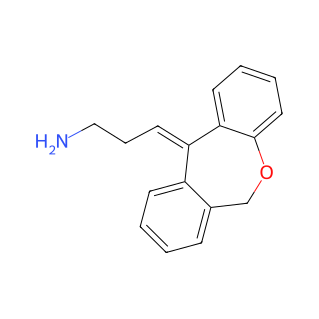 NCC/C=C1\c2ccccc2COc2ccccc21